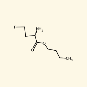 CCCCOC(=O)[C@H](N)CCF